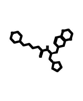 O=C(CCCCC1CCOCC1)N[C@@H](CC1C=CC2=C(C1)OCCO2)CN1CCCC1